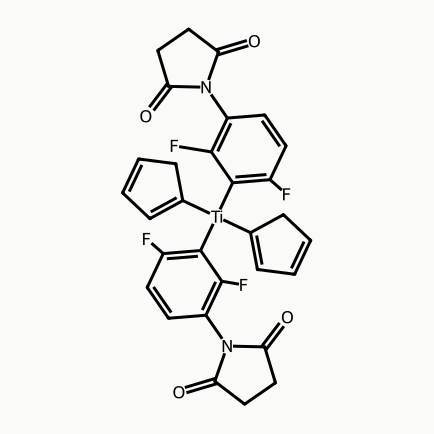 O=C1CCC(=O)N1c1ccc(F)[c]([Ti]([C]2=CC=CC2)([C]2=CC=CC2)[c]2c(F)ccc(N3C(=O)CCC3=O)c2F)c1F